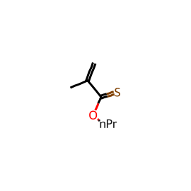 C=C(C)C(=S)OCCC